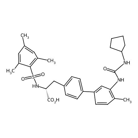 Cc1cc(C)c(S(=O)(=O)N[C@H](Cc2ccc(-c3ccc(C)c(NC(=O)NC4CCCC4)c3)cc2)C(=O)O)c(C)c1